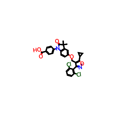 CC1(C)C(=O)N(c2ccc(C(=O)O)cc2)c2ccc(OCc3c(-c4c(Cl)cccc4Cl)noc3C3CC3)cc21